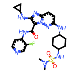 CN(C)S(=O)(=O)N[C@H]1CC[C@H](Nc2ccc3nc(NC4CC4)c(C(=O)Nc4ccncc4F)n3n2)CC1